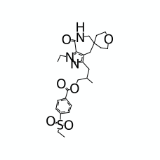 CCn1nc(CC(C)COC(=O)c2ccc(S(=O)(=O)CC)cc2)c2c1C(=O)NCC1(CCOCC1)C2